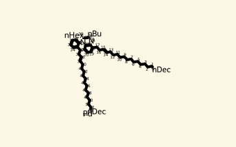 CCCCCCCCCCCCCCCCCCCCCCCC=CCCc1ccccc1N=C(CCCC)C(CCCCCC)=Nc1ccccc1CCC=CCCCCCCCCCCCCCCCCCCCCCCC.[Pd]